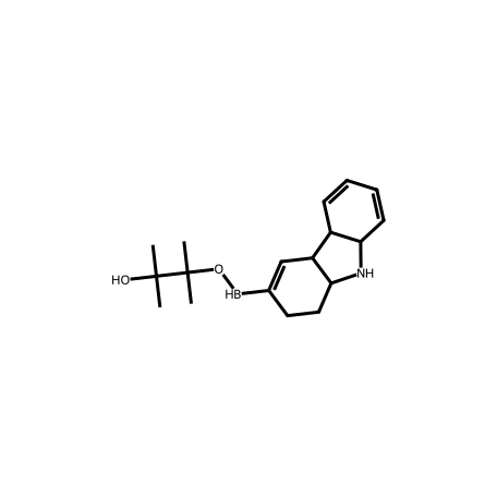 CC(C)(O)C(C)(C)OBC1=CC2C(CC1)NC1C=CC=CC12